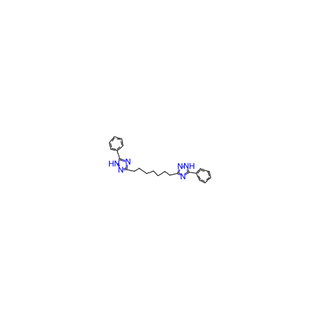 c1ccc(-c2nc(CCCCCCCc3n[nH]c(-c4ccccc4)n3)n[nH]2)cc1